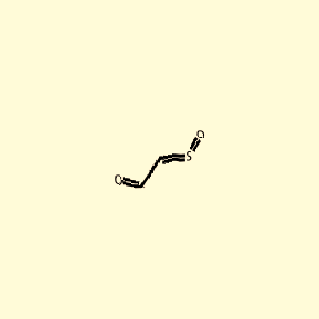 O=[C]C=S=O